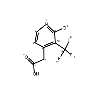 O=C(O)Cc1ccnc(Cl)c1C(F)(F)F